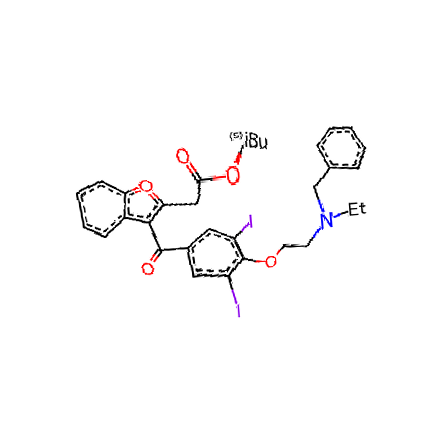 CC[C@H](C)OC(=O)Cc1oc2ccccc2c1C(=O)c1cc(I)c(OCCN(CC)Cc2ccccc2)c(I)c1